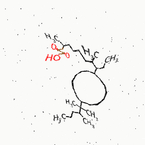 CCCC(C)C(C)(C)C1CCCCCCC(C(CC)C(C)CCCCC(C)S(=O)(=O)O)CCCCCC1